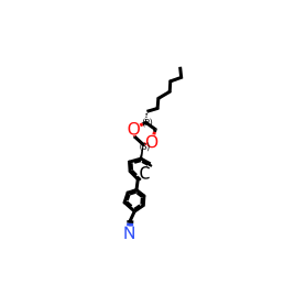 CCCCCCC[C@@H]1CO[C@@H](c2ccc(-c3ccc(C#N)cc3)cc2)CO1